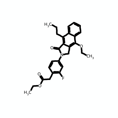 CCCc1c2c(c(OCC)c3ccccc13)CN(c1ccc(CC(=O)OCC)c(F)c1)C2=O